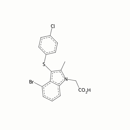 Cc1c(Sc2ccc(Cl)cc2)c2c(Br)cccc2n1CC(=O)O